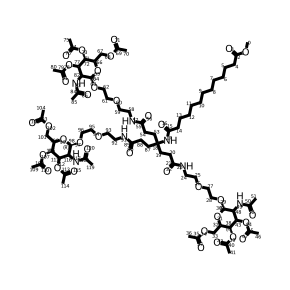 COC(=O)CCCCCCCCCCCC(=O)NC(CCC(=O)NCCOCCO[C@@H]1OC(COC(C)=O)[C@H](OC(C)=O)C(OC(C)=O)C1NC(C)=O)(CCC(=O)NCCOCCO[C@@H]1OC(COC(C)=O)[C@H](OC(C)=O)C(OC(C)=O)C1NC(C)=O)CCC(=O)NCCOCCO[C@@H]1OC(COC(C)=O)[C@H](OC(C)=O)C(OC(C)=O)C1NC(C)=O